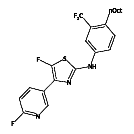 CCCCCCCCc1ccc(Nc2nc(-c3ccc(F)nc3)c(F)s2)cc1C(F)(F)F